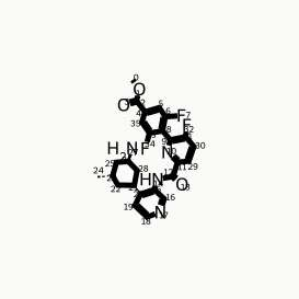 COC(=O)c1cc(F)c(-c2nc(C(=O)Nc3cnccc3[C@@H]3C[C@H](C)C[C@@H](N)C3)ccc2F)c(F)c1